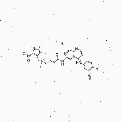 C#Cc1cc(Nc2ncnc3cnc(NC(=O)/C=C/C[N+](C)(C)Cc4c([N+](=O)[O-])nc(C)n4C)cc23)ccc1F.[Br-]